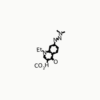 CCn1cc(C(=O)O)c(=O)c2ccc(N=NN(C)C)cc21